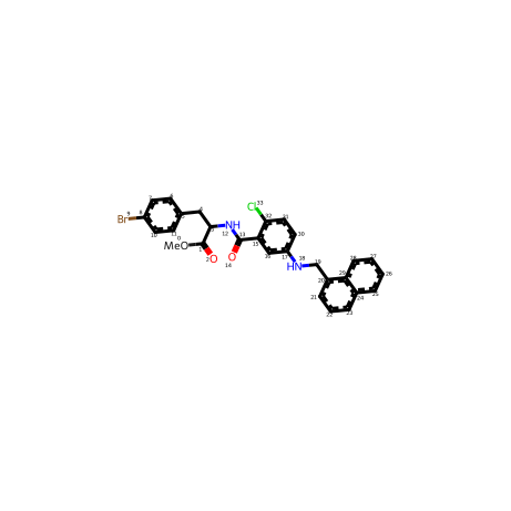 COC(=O)C(Cc1ccc(Br)cc1)NC(=O)c1cc(NCc2cccc3ccccc23)ccc1Cl